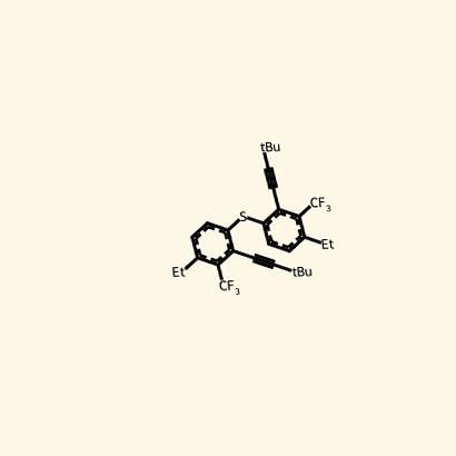 CCc1ccc(Sc2ccc(CC)c(C(F)(F)F)c2C#CC(C)(C)C)c(C#CC(C)(C)C)c1C(F)(F)F